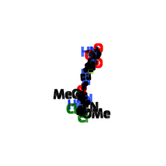 COc1cc(Nc2c(C#N)cnc3cc(OCCCN4CCN(Cc5cc6c(cc5F)C(=O)N(C5CCC(=O)NC5=O)C6)CC4)c(OC)cc23)c(Cl)cc1Cl